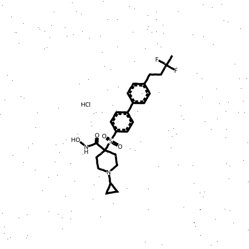 CC(F)(F)CCc1ccc(-c2ccc(S(=O)(=O)C3(C(=O)NO)CCN(C4CC4)CC3)cc2)cc1.Cl